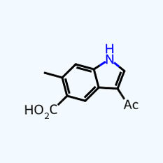 CC(=O)c1c[nH]c2cc(C)c(C(=O)O)cc12